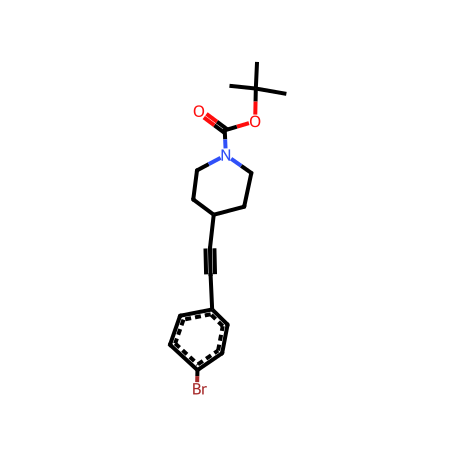 CC(C)(C)OC(=O)N1CCC(C#Cc2ccc(Br)cc2)CC1